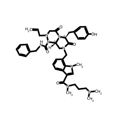 C=CCN1CC(=O)N2[C@@H](Cc3ccc(O)cc3)C(=O)N(Cc3cccc4c(C(=O)N(C)CCCN(C)C)cn(C)c34)C[C@@H]2N1C(=O)NCc1ccccc1